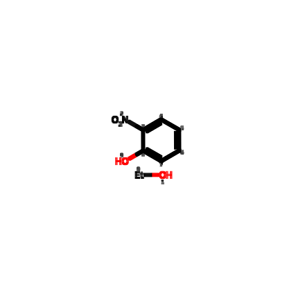 CCO.O=[N+]([O-])c1ccccc1O